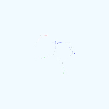 CO.Clc1nc[nH]c1Cl